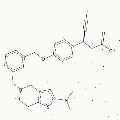 CC#C[C@@H](CC(=O)O)c1ccc(OCc2cccc(CN3CCc4sc(N(C)C)cc4C3)c2)cc1